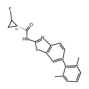 Cc1cccc(C)c1-c1ccc2nc(NC(=O)[C@@H]3CC3F)sc2c1